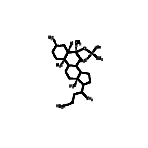 CC(CCC(=O)O)C1CCC2C3C[C@](C)(O[Si](C)(C)C(C)(C)C)[C@@H]4C[C@H](C)CC[C@]4(C)C3CC[C@]12C